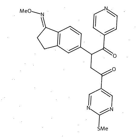 CON=C1CCc2cc(C(CC(=O)c3cnc(SC)nc3)C(=O)c3ccncc3)ccc21